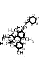 Cc1ccc(-c2c(C)cc(NSCC3CCCCC3)c(C)c2C(CO)OC(C)(C)C)cc1